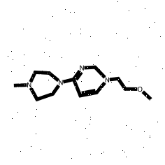 COCCN1C=CC(N2CCN(C)CC2)=NC1